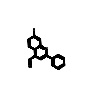 O=Cc1cc(-c2ccccc2)nc2cc(F)ccc12